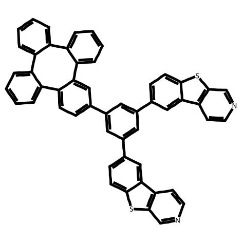 c1ccc2c(c1)-c1ccccc1-c1ccc(-c3cc(-c4ccc5sc6cnccc6c5c4)cc(-c4ccc5sc6cnccc6c5c4)c3)cc1-c1ccccc1-2